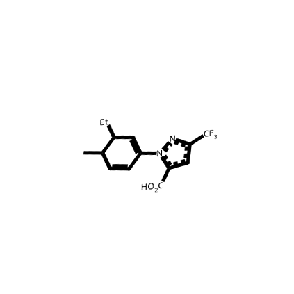 CCC1C=C(n2nc(C(F)(F)F)cc2C(=O)O)C=CC1C